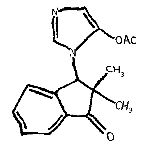 CC(=O)Oc1cncn1C1c2ccccc2C(=O)C1(C)C